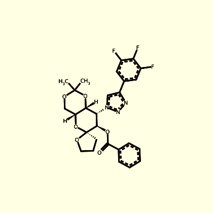 CC1(C)OC[C@H]2O[C@@]3(CCCO3)[C@H](OC(=O)c3ccccc3)[C@@H](n3cc(-c4cc(F)c(F)c(F)c4)nn3)[C@H]2O1